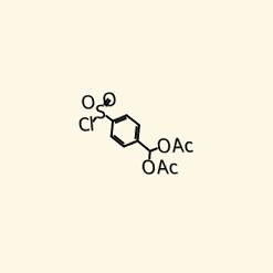 CC(=O)OC(OC(C)=O)c1ccc(S(=O)(=O)Cl)cc1